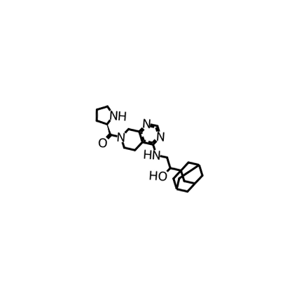 O=C([C@H]1CCCN1)N1CCc2c(ncnc2NCC(O)C23CC4CC(CC(C4)C2)C3)C1